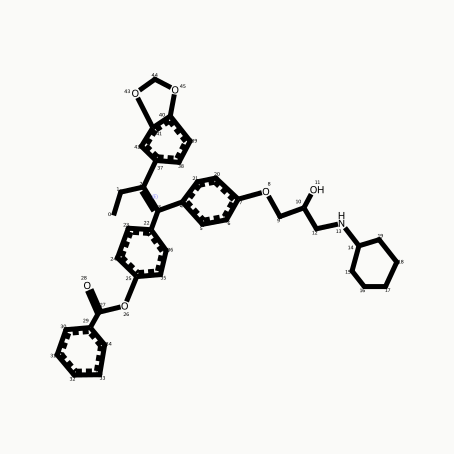 CC/C(=C(/c1ccc(OCC(O)CNC2CCCCC2)cc1)c1ccc(OC(=O)c2ccccc2)cc1)c1ccc2c(c1)OCO2